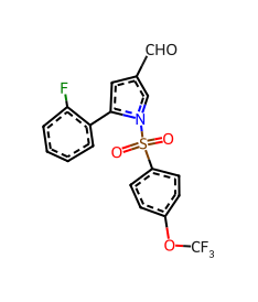 O=Cc1cc(-c2ccccc2F)n(S(=O)(=O)c2ccc(OC(F)(F)F)cc2)c1